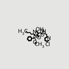 CCCCc1nc(O)c(-c2nnc(Cc3ccc(Cl)cn3)o2)c(=O)n1[C@@H](COC)c1ccccc1